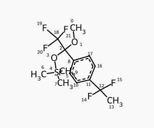 COC(O[Si](C)(C)C)(c1ccc(C(C)(F)F)cc1)C(F)(F)F